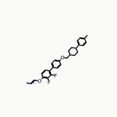 C/C=C/Oc1ccc(-c2ccc(OCC3CCC(c4ccc(C)cc4)CC3)cc2)c(F)c1F